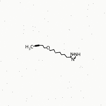 CC#CCCOCCCCCCCc1nc[nH]n1